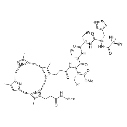 CCCCCCNC(=O)CCc1c(C)c2cc3nc(cc4cc(C)c(cc5nc(cc1[nH]2)C(CCC(=O)NN(C(=O)[C@H](CC(C)C)NC(=O)[C@H](CC(C)C)NC(=O)[C@H](Cc1c[nH]cn1)NC(=O)[C@@H](N)C(C)C)[C@@H](CC(C)C)C(=O)OC)=C5C)[nH]4)C(C)=C3